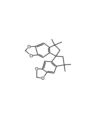 CC1(C)CC2(CC(C)(C)c3cc4c(cc32)OCO4)c2cc3c(cc21)OCO3